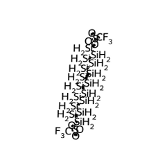 O=S(=O)(O[SiH2][SiH2][SiH2][SiH2][SiH2][SiH2][SiH2][SiH2][SiH2][SiH2][SiH2][SiH2][SiH2][SiH2][SiH2][SiH2]OS(=O)(=O)C(F)(F)F)C(F)(F)F